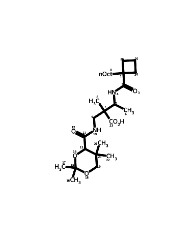 CCCCCCCCC1(C(=O)NC(C)C(C)(CNC(=O)C2OC(C)(C)OCC2(C)C)C(=O)O)CCC1